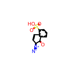 [N-]=[N+]=C1C=Cc2c(cccc2S(=O)(=O)O)C1=O